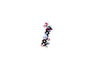 COC(=O)N1CCC2CC2(c2ccc3cnc(CNC(=O)c4ccc5c(c4)C(C)(C#N)COC5)cc3n2)C1